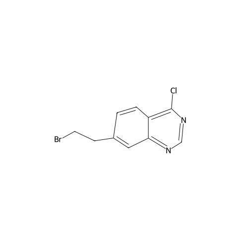 Clc1ncnc2cc(CCBr)ccc12